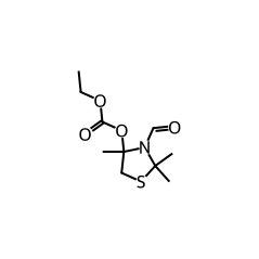 CCOC(=O)OC1(C)CSC(C)(C)N1C=O